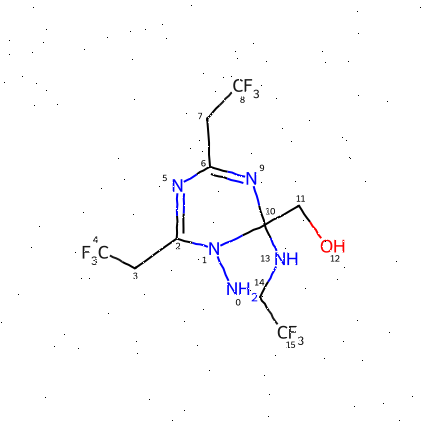 NN1C(CC(F)(F)F)=NC(CC(F)(F)F)=NC1(CO)NCC(F)(F)F